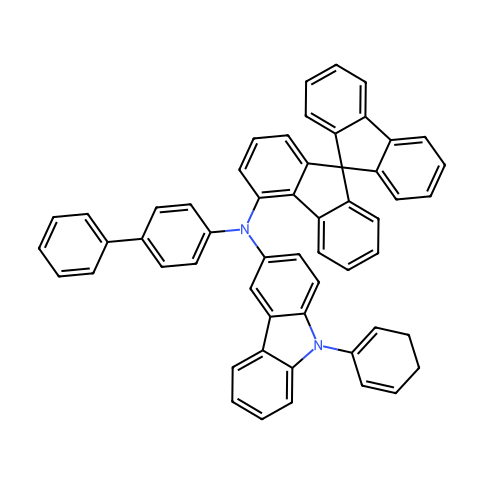 C1=CC(n2c3ccccc3c3cc(N(c4ccc(-c5ccccc5)cc4)c4cccc5c4-c4ccccc4C54c5ccccc5-c5ccccc54)ccc32)=CCC1